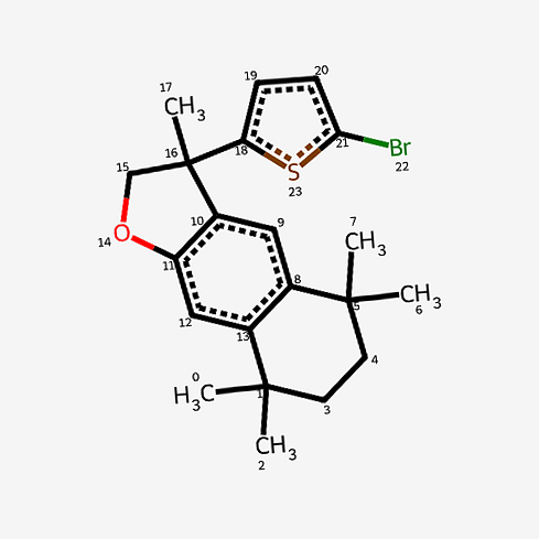 CC1(C)CCC(C)(C)c2cc3c(cc21)OCC3(C)c1ccc(Br)s1